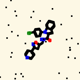 O=C(NCC1CC(c2ccncc2)=NO1)c1cc2ccccc2n1-c1ccc(Cl)cc1